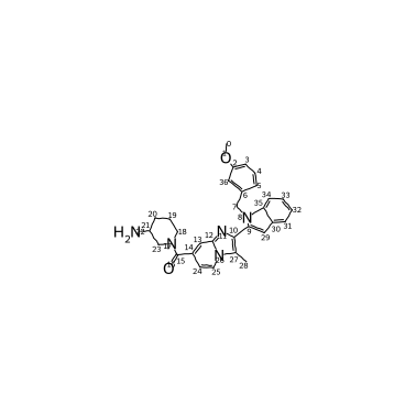 COc1cccc(Cn2c(-c3nc4cc(C(=O)N5CCCC(N)C5)ccn4c3C)cc3ccccc32)c1